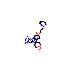 c1cnc2[nH]c(C3(c4ccc(OCCCN5CCCC5)cc4)CCOCC3)cc2n1